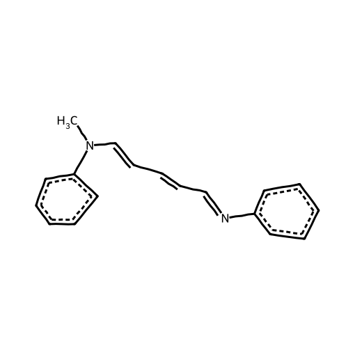 CN(/C=C/C=C/C=N/c1ccccc1)c1ccccc1